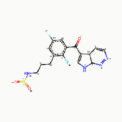 O=C(C1=CNC2N=NC=CC12)c1cc(F)cc(CCCN[SH](=O)=O)c1F